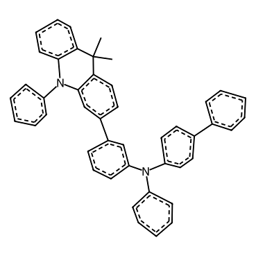 CC1(C)c2ccccc2N(c2ccccc2)c2cc(-c3cccc(N(c4ccccc4)c4ccc(-c5ccccc5)cc4)c3)ccc21